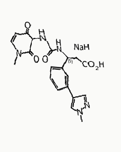 CN1C=CC(=O)C(NC(=O)N[C@@H](CC(=O)O)c2cccc(-c3cnn(C)c3)c2)C1=O.[NaH]